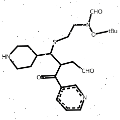 CC(C)(C)ON(C=O)CCSC(C1CCNCC1)C(CC=O)C(=O)c1cccnc1